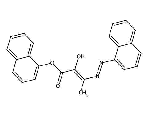 CC(N=Nc1cccc2ccccc12)=C(O)C(=O)Oc1cccc2ccccc12